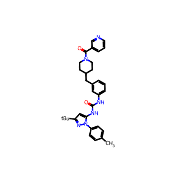 Cc1ccc(-n2nc(C(C)(C)C)cc2NC(=O)Nc2cccc(CC3CCN(C(=O)c4cccnc4)CC3)c2)cc1